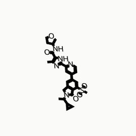 Cc1nc(-c2cc(-c3cc4c(c(S(C)(=O)=O)c3)C(=O)N(C(C)C3CC3)C4)ccn2)[nH]c1C(=O)NC1CCOC1